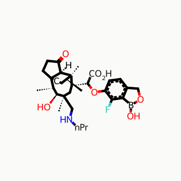 CCCNC[C@]1(C)C[C@@H](C(Oc2ccc3c(c2F)B(O)OC3)C(=O)O)[C@@]2(C)[C@H](C)CC[C@]3(CCC(=O)[C@H]32)[C@@H](C)[C@@H]1O